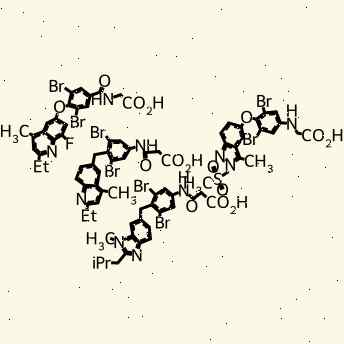 CC(C)Cc1nc2ccc(Cc3c(Br)cc(NC(=O)CC(=O)O)cc3Br)cc2n1C.CCc1cc(C)c2cc(Cc3c(Br)cc(NC(=O)CC(=O)O)cc3Br)ccc2n1.CCc1cc(C)c2cc(Oc3c(Br)cc(C(=O)NCC(=O)O)cc3Br)cc(F)c2n1.Cc1c2cc(Oc3c(Br)cc(NCC(=O)O)cc3Br)ccc2nn1CS(C)(=O)=O